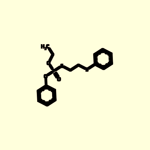 CCOP(=O)(Oc1ccccc1)SCCSc1ccccc1